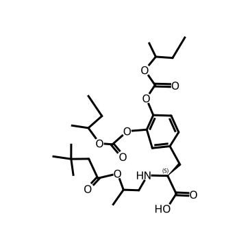 CCC(C)OC(=O)Oc1ccc(C[C@H](NCC(C)OC(=O)CC(C)(C)C)C(=O)O)cc1OC(=O)OC(C)CC